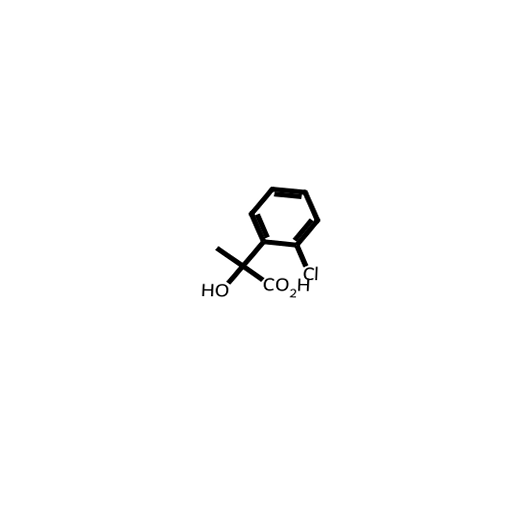 CC(O)(C(=O)O)c1ccccc1Cl